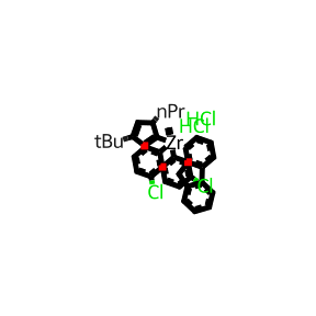 Cl.Cl.[CH2]=[Zr]([C]1=CC(C(C)(C)C)=CC1CCC)([c]1cccc(Cl)c1)([c]1cccc(Cl)c1)[c]1cccc2c1Cc1ccccc1-2